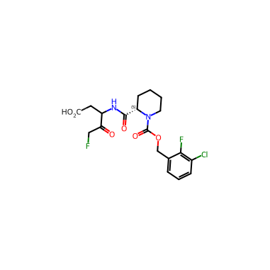 O=C(O)CC(NC(=O)[C@@H]1CCCCN1C(=O)OCc1cccc(Cl)c1F)C(=O)CF